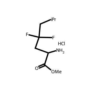 COC(=O)C(N)CC(F)(F)CC(C)C.Cl